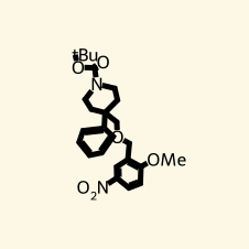 COc1ccc([N+](=O)[O-])cc1COCC1(c2ccccc2)CCN(C(=O)OC(C)(C)C)CC1